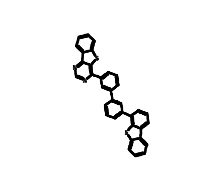 c1cc(-c2cccc(-c3ncnc4c3sc3ccccc34)c2)cc(-c2cccc3c2sc2ccccc23)c1